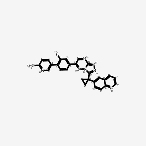 Nc1ccc(-c2ccc(-c3cnc4nnc(C5(c6ccc7ncccc7c6)CC5)n4n3)cc2F)cn1